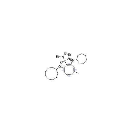 CCN(CC)P(=S)(C1=C(OC2CCCCCC2)/C=C(C)\C=C/C=C\1OC1CCCCCCCC1)N(CC)CC